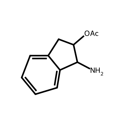 CC(=O)OC1Cc2ccccc2C1N